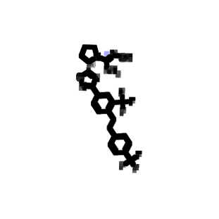 N/C(=N\O)N1CCC[C@H]1c1nc(-c2ccc(CCc3ccc(C(F)(F)F)cc3)c(C(F)(F)F)c2)no1